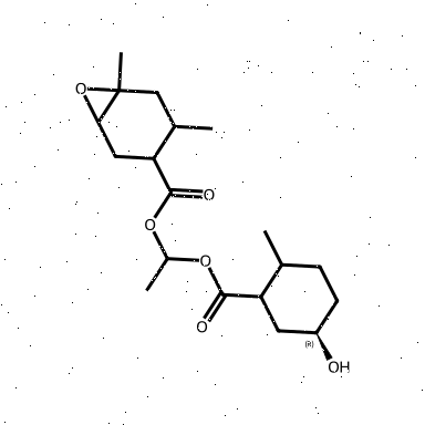 CC(OC(=O)C1CC2OC2(C)CC1C)OC(=O)C1C[C@H](O)CCC1C